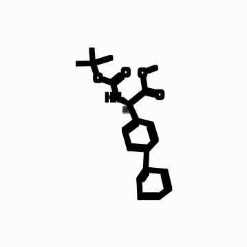 COC(=O)[C@H](NC(=O)OC(C)(C)C)c1ccc(-c2ccccc2)cc1